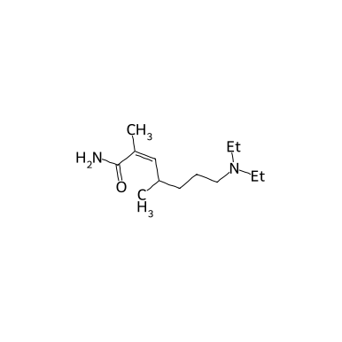 CCN(CC)CCCC(C)C=C(C)C(N)=O